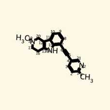 Cc1ccc(C#Cc2cccc3c4c([nH]c23)CCN(C)C4)cn1